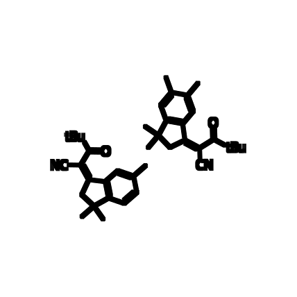 Cc1cc2c(cc1C)C(C)(C)CC2=C(C#N)C(=O)C(C)(C)C.Cc1ccc2c(c1)C(=C(C#N)C(=O)C(C)(C)C)CC2(C)C